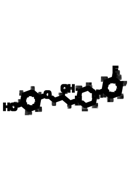 Oc1ccc(OC[C@H](O)CN2CCN(c3cccc(F)c3)CC2)cc1